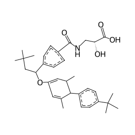 CC1=CC(OC(CC(C)(C)C)c2ccc(C(=O)NC[C@@H](O)C(=O)O)cc2)=CC(C)C1c1ccc(C(C)(C)C)cc1